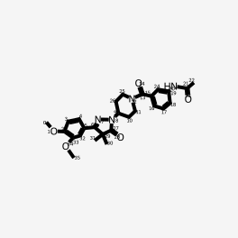 COc1ccc(C2=NN(C3CCN(C(=O)c4cccc(NC(C)=O)c4)CC3)C(=O)C2(C)C)cc1OC